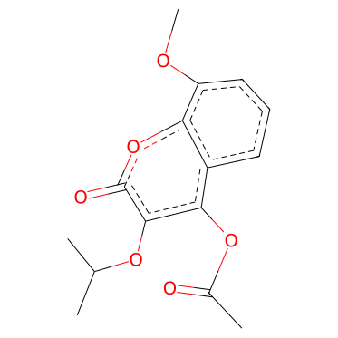 COc1cccc2c(OC(C)=O)c(OC(C)C)c(=O)oc12